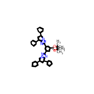 CC1(C)OB(c2cc(-c3nc4c(C5=CCCC=C5)cc(C5=CC=CCC5)cn4n3)cc(-c3nc4c(-c5ccccc5)cc(-c5ccccc5)cn4n3)c2)OC1(C)C